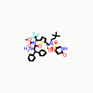 COC(=O)N(C(=O)[C@@H](N)C(c1ccccc1)c1ccccc1)[C@H](c1ccc([C@@H](CO)N(CCC(C)(C)C)S(=O)(=O)c2ccc(=O)[nH]c2)s1)C(F)(F)F